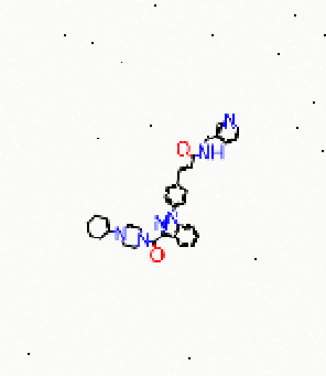 O=C(/C=C/c1ccc(-n2nc(C(=O)N3CCN(C4CCCCC4)CC3)c3ccccc32)cc1)NCc1cccnc1